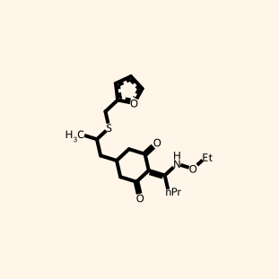 CCCC(NOCC)=C1C(=O)CC(CC(C)SCc2ccco2)CC1=O